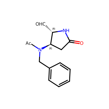 CC(=O)N(Cc1ccccc1)[C@@H]1CC(=O)N[C@H]1C=O